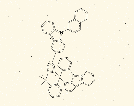 CC1(C)c2ccccc2C2(c3ccccc3-n3c4ccccc4c4cccc2c43)c2cc(-c3ccc4c(c3)c3ccccc3n4-c3ccc4ccccc4c3)ccc21